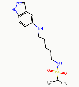 CC(C)S(=O)(=O)NCCCCCNc1ccc2[nH]ncc2c1